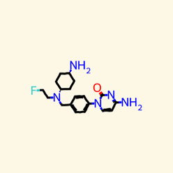 Nc1ccn(-c2ccc(CN(CCF)[C@H]3CC[C@H](N)CC3)cc2)c(=O)n1